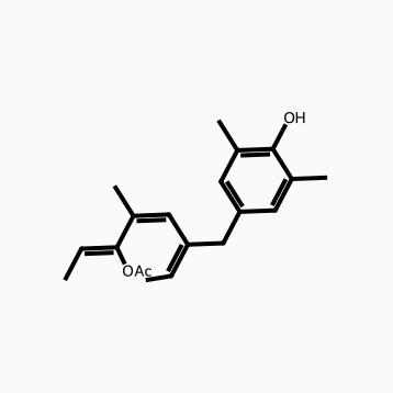 C\C=C(/C=C(C)\C(=C\C)OC(C)=O)Cc1cc(C)c(O)c(C)c1